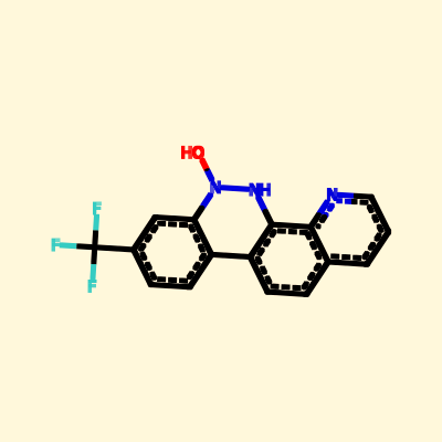 ON1Nc2c(ccc3cccnc23)-c2ccc(C(F)(F)F)cc21